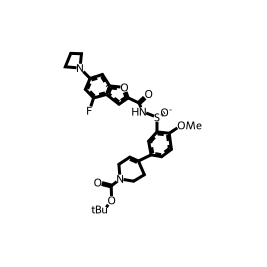 COc1ccc(C2=CCN(C(=O)OC(C)(C)C)CC2)cc1[S+]([O-])NC(=O)c1cc2c(F)cc(N3CCC3)cc2o1